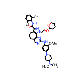 CCc1cccc(CC)c1NC(=O)c1nn(CCOC2CCCCO2)c2c1CCCc1cnc(Nc3ccc(N4CCC(N(C)C)CC4)cc3OC)nc1-2